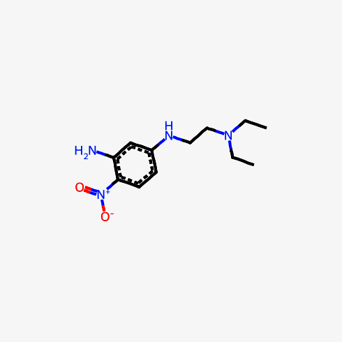 CCN(CC)CCNc1ccc([N+](=O)[O-])c(N)c1